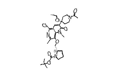 CCOC1(c2cc3c(Cl)nc(C)c(OC[C@@H]4CCCN4C(=O)OC(C)(C)C)c3n(C)c2=O)CCN(C(C)=O)CC1